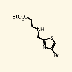 CCOC(=O)CCNCc1nc(Br)cs1